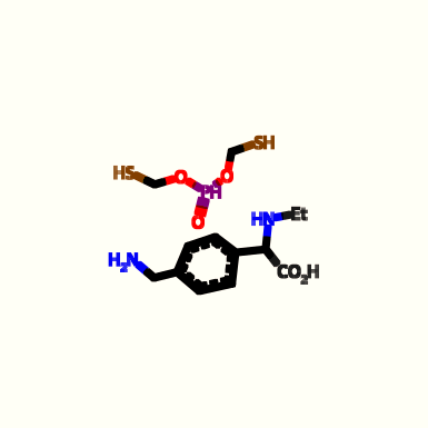 CCNC(C(=O)O)c1ccc(CN)cc1.O=[PH](OCS)OCS